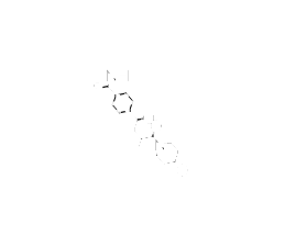 CC(CC(=O)c1ccc(C(N)=S)cc1)C(=O)N1CCC([O])CC1